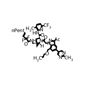 C=CCOCc1cc(-c2cnc(C)nc2)cc2c(C(C)=O)nn(CC(=O)N3[C@H](C(=O)Nc4nc(C(F)(F)F)ccc4C)C[C@@]4(CNC(=O)C(F)(F)C=CCCCCC)C[C@@H]34)c12